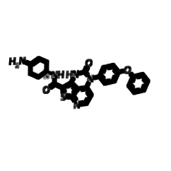 NC1=CC[C@@H](NC(=O)c2sc3nccc4c3c2NC(=O)N4c2ccc(Oc3ccccc3)cc2)CC1